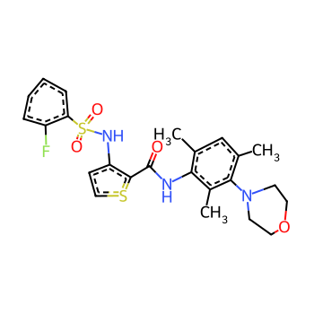 Cc1cc(C)c(N2CCOCC2)c(C)c1NC(=O)c1sccc1NS(=O)(=O)c1ccccc1F